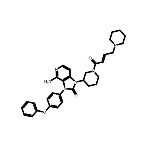 Nc1nccc2c1n(-c1ccc(Oc3ccccc3)cc1)c(=O)n2C1CCCN(C(=O)C=CCN2CCCCC2)C1